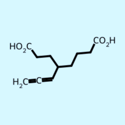 C=C=CC(CCCC(=O)O)CCC(=O)O